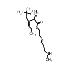 CC/C=C(/CC(C)(C)C)C(C)C(=O)SCC/N=C/CCNC